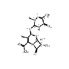 CC1=C(C(=O)C(C)(C)C)N2C(=O)[C@H](Cl)[C@@H]2SC1SC1NC(=O)C(O)=NN1C